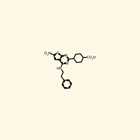 O=C(O)C1CCC(c2nc(NCCc3ccccc3)c3cc([N+](=O)[O-])sc3n2)CC1